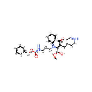 COC(=O)c1c(CC2CCNCC2)c(=O)c2ccccc2n1CCCNC(=O)OCc1ccccc1